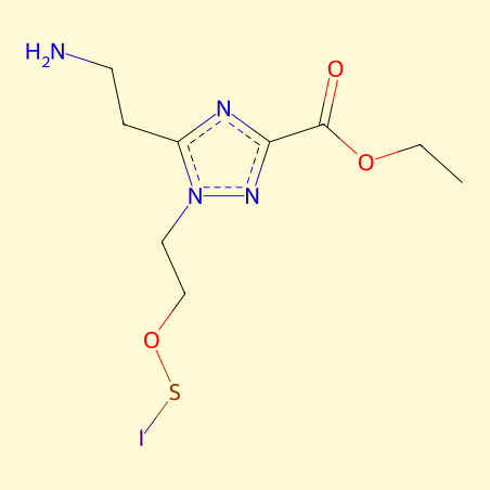 CCOC(=O)c1nc(CCN)n(CCOSI)n1